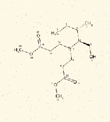 CC[C@H](C)[C@@H](CO)N(CCC(=O)OC)CCC(=O)OC